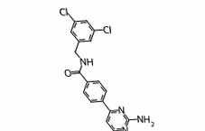 Nc1nccc(-c2ccc(C(=O)NCc3cc(Cl)cc(Cl)c3)cc2)n1